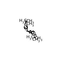 CC(C)(C)CN1CCN(CC2CC3(CCN(OC(C)(C)C)C3)C2)CC1